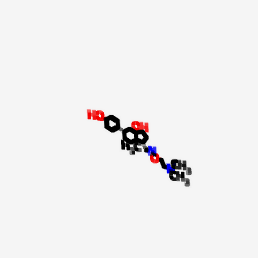 CN(C)CCO/N=C/[C@H]1CC[C@]2(O)C[C@@H](c3ccc(O)cc3)CC[C@]12C